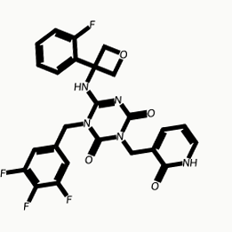 O=c1[nH]cccc1Cn1c(=O)nc(NC2(c3ccccc3F)COC2)n(Cc2cc(F)c(F)c(F)c2)c1=O